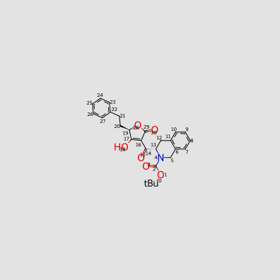 CC(C)(C)OC(=O)N1Cc2ccccc2C[C@H]1C(=O)C1=C(O)[C@@H](CCc2ccccc2)OC1=O